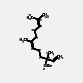 C=CC(C)(CCC=C(C)CCC=C(C)C)OC